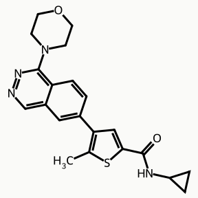 Cc1sc(C(=O)NC2CC2)cc1-c1ccc2c(N3CCOCC3)nncc2c1